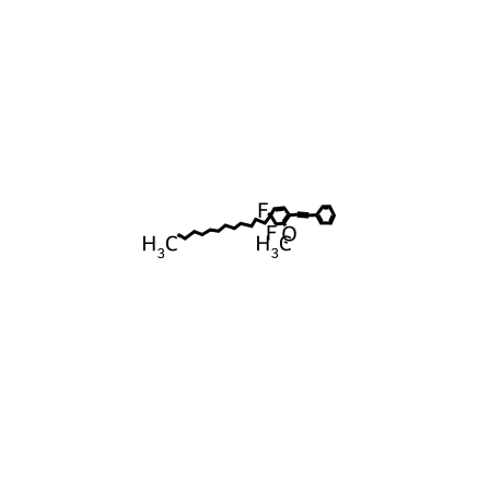 CCCCCCCCCCCCCC1(F)C=CC(C#Cc2ccccc2)=C(OC)C1F